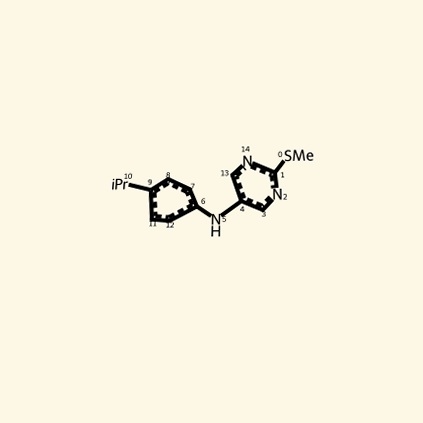 CSc1ncc(Nc2ccc(C(C)C)cc2)cn1